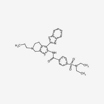 CCCN1CCc2c(sc(NC(=O)c3ccc(S(=O)(=O)N(CC)CC)cc3)c2-c2nc3ccccc3s2)C1